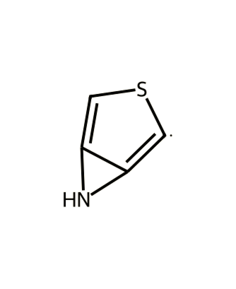 [c]1scc2c1N2